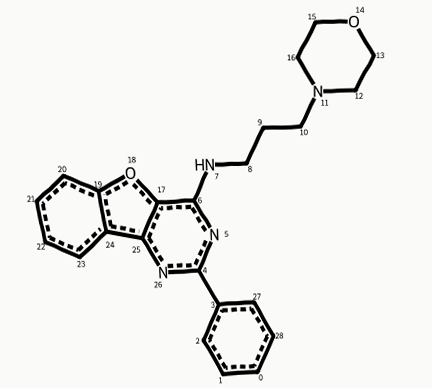 c1ccc(-c2nc(NCCCN3CCOCC3)c3oc4ccccc4c3n2)cc1